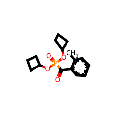 Cc1ccccc1C(=O)P(=O)(OC1CCC1)OC1CCC1